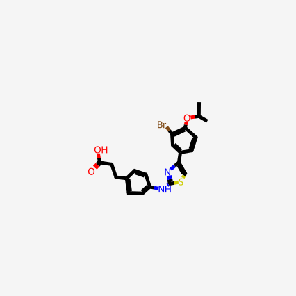 CC(C)Oc1ccc(-c2csc(Nc3ccc(CCC(=O)O)cc3)n2)cc1Br